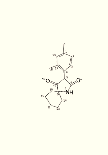 Cc1ccc(C2C(=O)NC3(CCCCC3)C2=O)c(C)c1